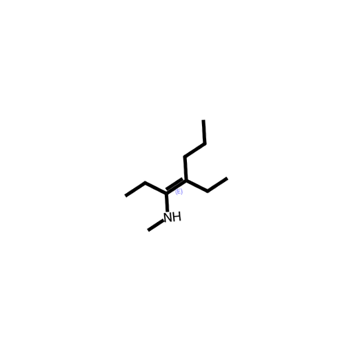 CCC/C(CC)=C(\CC)NC